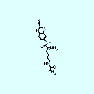 CC(=O)NCCCC[C@H](N)C(=O)Nc1ccc2nc(C#N)sc2c1